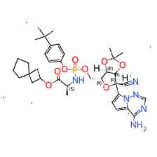 C[C@H](NP(=O)(OC[C@H]1O[C@@](C#N)(c2ccc3c(N)ncnn23)[C@@H]2OC(C)(C)O[C@@H]21)Oc1ccc(C(C)(C)C)cc1)C(=O)OC1CC2(CCCC2)C1